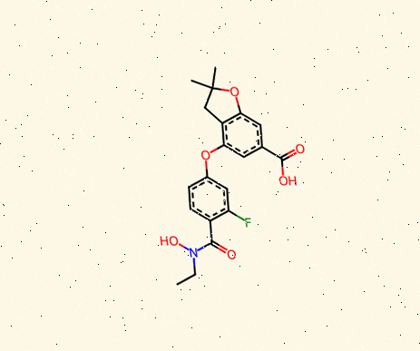 CCN(O)C(=O)c1ccc(Oc2cc(C(=O)O)cc3c2CC(C)(C)O3)cc1F